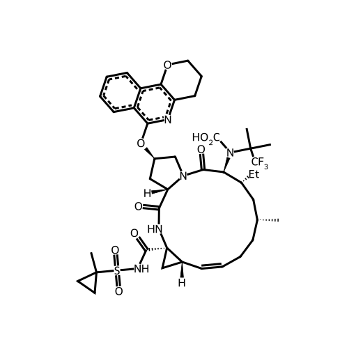 CC[C@@H]1C[C@H](C)CC/C=C\[C@@H]2C[C@@]2(C(=O)NS(=O)(=O)C2(C)CC2)NC(=O)[C@@H]2C[C@@H](Oc3nc4c(c5ccccc35)OCCC4)CN2C(=O)[C@H]1N(C(=O)O)C(C)(C)C(F)(F)F